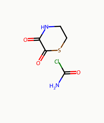 NC(=O)Cl.O=C1NCCSC1=O